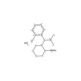 CC(=O)NC1CCCCC1C(c1ccccc1Cl)N(C)C.Cl